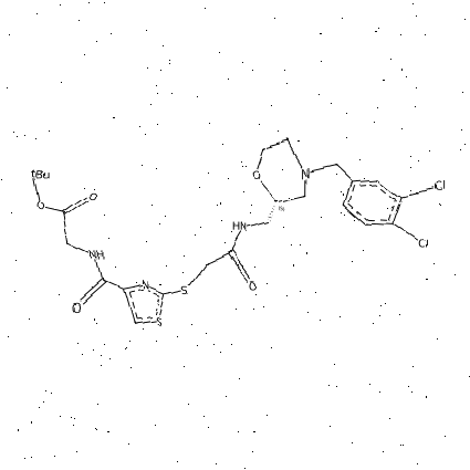 CC(C)(C)OC(=O)CNC(=O)c1csc(SCC(=O)NC[C@H]2CN(Cc3ccc(Cl)c(Cl)c3)CCO2)n1